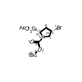 CC(C)(C)OC(=O)N1C[C@@H](Br)C[C@H]1C(=O)O